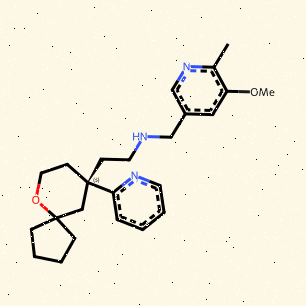 COc1cc(CNCC[C@]2(c3ccccn3)CCOC3(CCCC3)C2)cnc1C